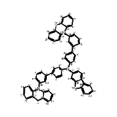 c1cc(-c2ccc(N(c3ccc(-c4cccc(N5c6ccccc6Sc6ccccc65)c4)cc3)c3ccc4c(c3)sc3ccccc34)cc2)cc(N2c3ccccc3Cc3ccccc32)c1